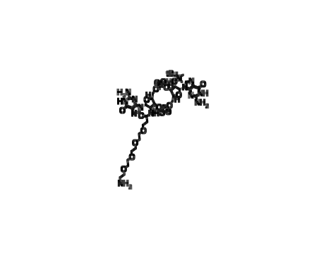 CC(C)(C)[Si](C)(C)OC1[C@H]2OP(=O)(O)OC[C@H]3O[C@@H](n4cnc5c(=O)[nH]c(N)nc54)C(NC(=O)CCOCCOCCOCCOCCN)[C@H]3OP(=O)(O)OC[C@H]2O[C@H]1n1cnc2c(=O)[nH]c(N)nc21